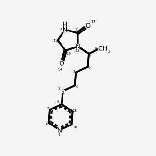 CC(CCCSc1ccncc1)N1C(=O)CNC1=O